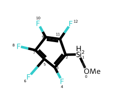 CO[SiH2]c1c(F)c(F)c(F)c(F)c1F